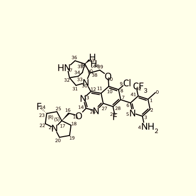 Cc1cc(N)nc(-c2c(Cl)c3c4c(nc(OC[C@@]56CCCN5C[C@H](F)C6)nc4c2F)N2CC4CC[C@H](CN4)[C@H]2CO3)c1C(F)(F)F